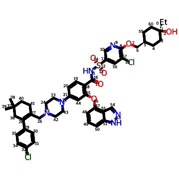 CC[C@]1(O)CC[C@@H](COc2ncc(S(=O)(=O)NC(=O)c3ccc(N4CCN(CC5=C(c6ccc(Cl)cc6)CC(C)(C)CC5)CC4)cc3Oc3cccc4[nH]ncc34)cc2Cl)CC1